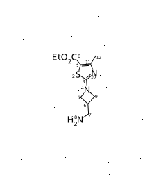 CCOC(=O)c1sc(N2CC(CN)C2)nc1C